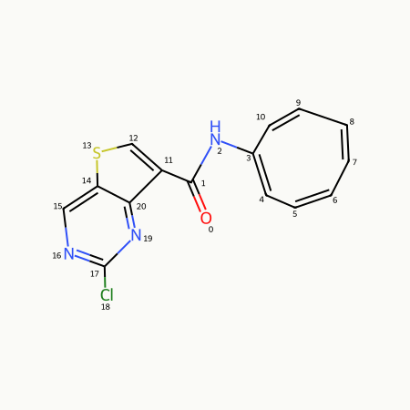 O=C(NC1=C/C=C\C=C/C=C\1)c1csc2cnc(Cl)nc12